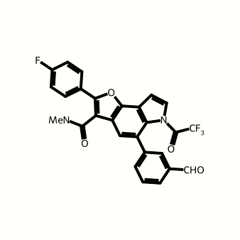 CNC(=O)c1c(-c2ccc(F)cc2)oc2c1cc(-c1cccc(C=O)c1)c1c2ccn1C(=O)C(F)(F)F